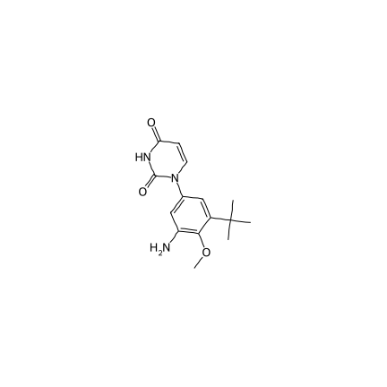 COc1c(N)cc(-n2ccc(=O)[nH]c2=O)cc1C(C)(C)C